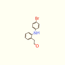 O=CCc1ccccc1Nc1ccc(Br)cc1